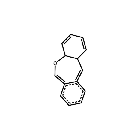 C1=CC2C=c3ccccc3=COC2C=C1